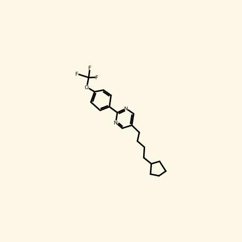 FC(F)(F)Oc1ccc(-c2ncc(CCCCC3CCCC3)cn2)cc1